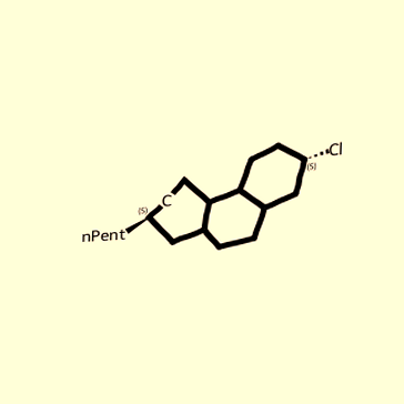 CCCCC[C@H]1CCC2C(CCC3C[C@@H](Cl)CCC32)C1